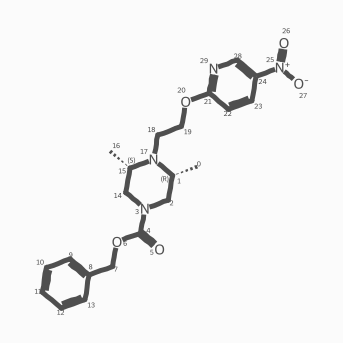 C[C@@H]1CN(C(=O)OCc2ccccc2)C[C@H](C)N1CCOc1ccc([N+](=O)[O-])cn1